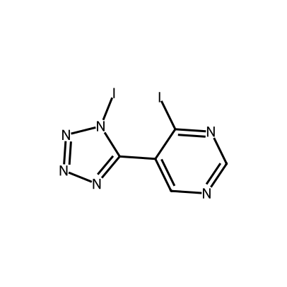 Ic1ncncc1-c1nnnn1I